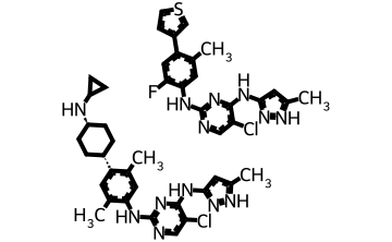 Cc1cc(Nc2nc(Nc3cc(C)c(-c4ccsc4)cc3F)ncc2Cl)n[nH]1.Cc1cc(Nc2nc(Nc3cc(C)c([C@H]4CC[C@@H](NC5CC5)CC4)cc3C)ncc2Cl)n[nH]1